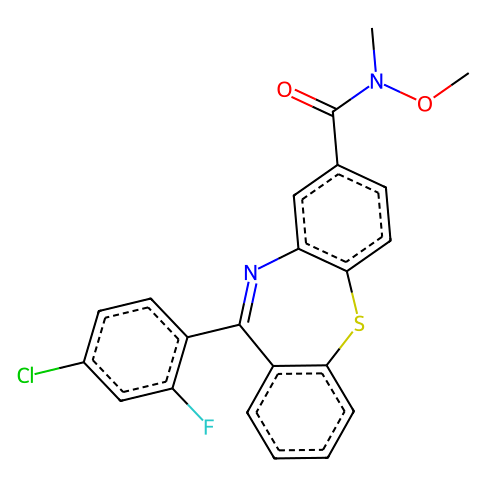 CON(C)C(=O)c1ccc2c(c1)N=C(c1ccc(Cl)cc1F)c1ccccc1S2